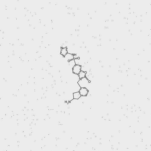 NC1Cc2cccc(Cn3c(=O)oc4cc(S(=O)(=O)Nc5ncns5)ccc43)c2C1